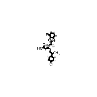 C/C(=C\S/C(=C/C(=O)O)NC(=O)c1nc2cccc(F)c2o1)c1ccc(Cl)cc1